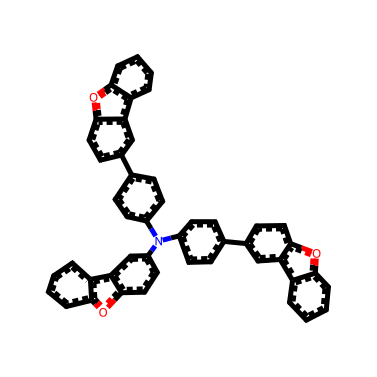 c1ccc2c(c1)oc1ccc(-c3ccc(N(c4ccc(-c5ccc6oc7ccccc7c6c5)cc4)c4ccc5oc6ccccc6c5c4)cc3)cc12